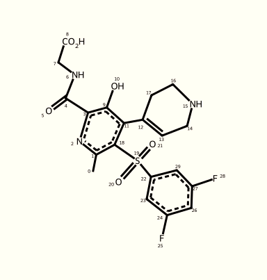 Cc1nc(C(=O)NCC(=O)O)c(O)c(C2=CCNCC2)c1S(=O)(=O)c1cc(F)cc(F)c1